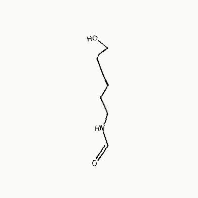 O=CNCCCCCO